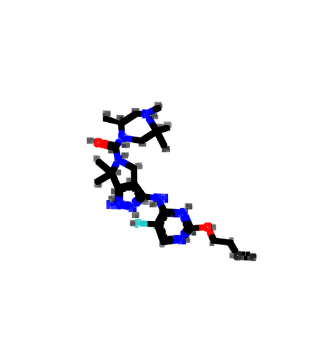 COCCOc1ncc(F)c(Nc2n[nH]c3c2CN(C(=O)N2CC(C)(C)N(C)C[C@@H]2C)C3(C)C)n1